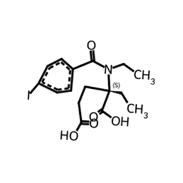 CCN(C(=O)c1ccc(I)cc1)[C@@](CC)(CCC(=O)O)C(=O)O